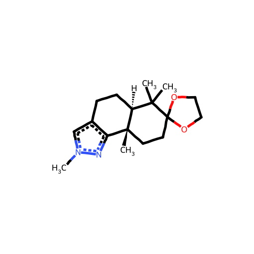 Cn1cc2c(n1)[C@@]1(C)CCC3(OCCO3)C(C)(C)[C@@H]1CC2